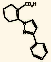 O=C(O)C1=C(n2ccc(-c3ccccc3)n2)CCCC1